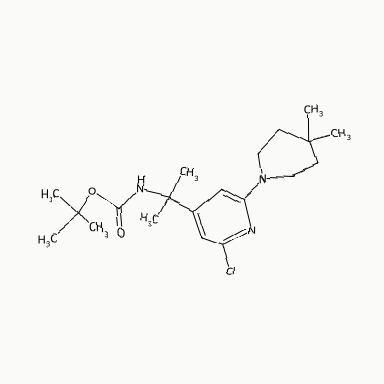 CC1(C)CCN(c2cc(C(C)(C)NC(=O)OC(C)(C)C)cc(Cl)n2)CC1